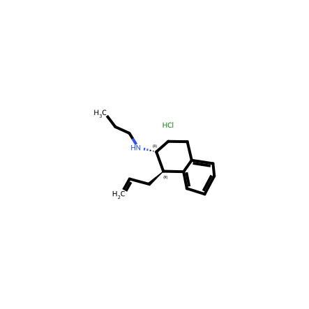 C=CC[C@@H]1c2ccccc2CC[C@H]1NCCC.Cl